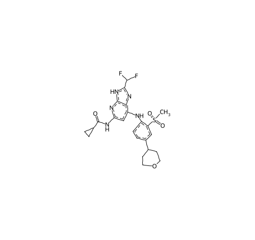 CS(=O)(=O)c1cc(C2CCOCC2)ccc1Nc1cc(NC(=O)C2CC2)nc2[nH]c(C(F)F)nc12